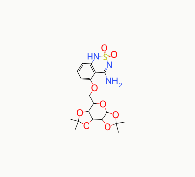 CC1(C)OC2OC(COc3cccc4c3C(N)=NS(=O)(=O)N4)C3OC(C)(C)OC3C2O1